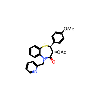 COc1ccc([C@@H]2Sc3ccccc3N(Cc3ccccn3)C(=O)[C@@H]2OC(C)=O)cc1